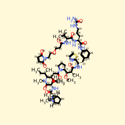 CC[C@H](C)[C@@H]([C@@H](CC(=O)N1CCC[C@H]1[C@H](OC)[C@@H](C)C(=O)N[C@@H](Cc1cccc(NC(=O)[C@H](CCCNC(N)=O)NC(=O)[C@@H](NC(=O)CCOCCN2C(=O)C=CC2=O)C(C)C)c1)c1nccs1)OC)N(C)C(=O)[C@@H](NC(=O)[C@@H]1[C@H]2CC[C@@H]([C@H]2C)N1C)C(C)C